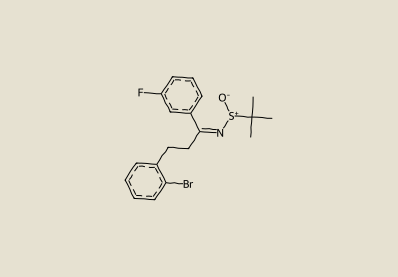 CC(C)(C)[S+]([O-])/N=C(/CCc1ccccc1Br)c1cccc(F)c1